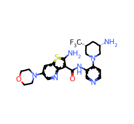 Nc1sc2cc(N3CCOCC3)cnc2c1C(=O)Nc1cnccc1N1C[C@@H](N)C[C@@H](C(F)(F)F)C1